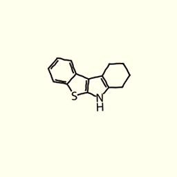 c1ccc2c(c1)sc1[nH]c3c(c12)CCCC3